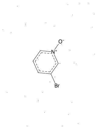 [O-][n+]1[c]c(Br)ccc1